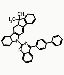 CC1(C)C2=C(C=CCC2)C2=CC3=C(CC21)C1C=CC=CC1N3c1nc(-c2ccc(-c3ccccc3)cc2)c2ccccc2n1